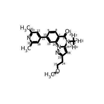 [2H]C([2H])([2H])n1c(=O)c2ccc(-c3cc(C)nc(C)c3)cc2n2nc(CCOC)cc12